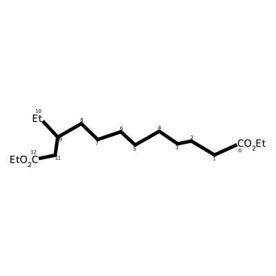 CCOC(=O)CCCCCCCCC(CC)CC(=O)OCC